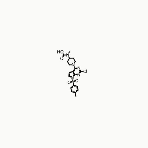 Cc1ccc(S(=O)(=O)n2ccc3c(N4CCC(N(C)C(=O)O)CC4)nc(Cl)nc32)cc1